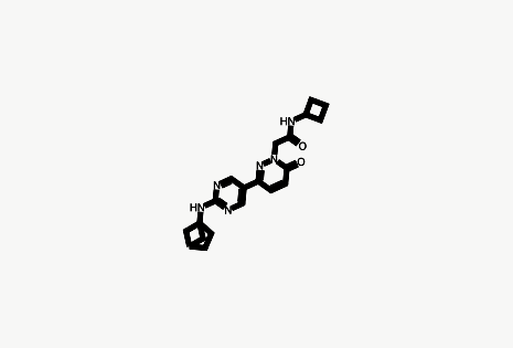 O=C(Cn1nc(-c2cnc(NC34CCC(C3)C4)nc2)ccc1=O)NC1CCC1